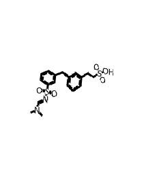 CN(C)/C=N/S(=O)(=O)c1cccc(Cc2cccc(CCS(=O)(=O)O)c2)c1